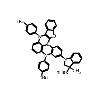 CCCCCCC1(C)CN(c2ccc3c(c2)N(c2ccc(C(C)(C)C)cc2)c2cccc4c2B3c2oc3ccccc3c2N4c2ccc(C(C)(C)C)cc2)c2ccccc21